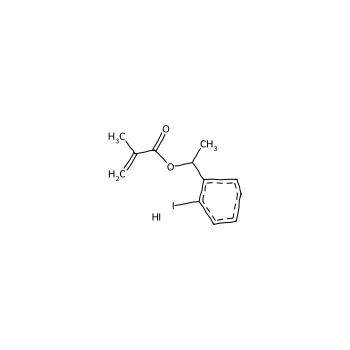 C=C(C)C(=O)OC(C)c1ccccc1I.I